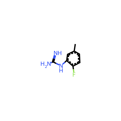 Cc1ccc(F)c(NC(=N)N)c1